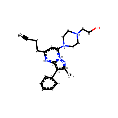 C#CCCc1cc(N2CCN(CCO)CC2)n2nc(C)c(-c3ccccc3)c2n1